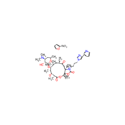 CC[C@H]1OC(=O)[C@H](C)C(=O)[C@H](C)[C@@H](O[C@@H]2O[C@H](C)C[C@H](N(C)C)[C@H]2O)[C@](C)(OC)C[C@@H](C)C(=O)[C@H](C)[C@H]2N(CCCCn3cnc(-c4cccnc4)c3)C(=O)O[C@]12C.O=[N+]([O-])c1ccco1